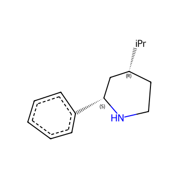 CC(C)[C@@H]1CCN[C@H](c2ccccc2)C1